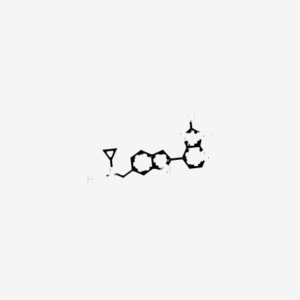 Cc1nc2c(-c3cc4ccc(CN(C)C5CC5)cc4[nH]3)ccnc2[nH]1